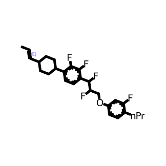 C/C=C/C1CCC(c2ccc(C(F)C(F)COc3ccc(CCC)c(F)c3)c(F)c2F)CC1